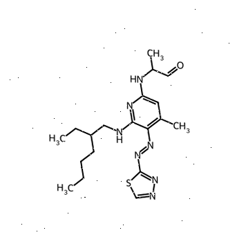 CCCCC(CC)CNc1nc(NC(C)C=O)cc(C)c1N=Nc1nncs1